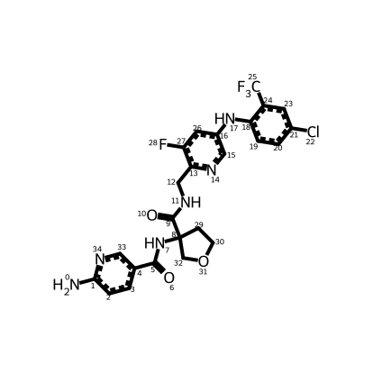 Nc1ccc(C(=O)NC2(C(=O)NCc3ncc(Nc4ccc(Cl)cc4C(F)(F)F)cc3F)CCOC2)cn1